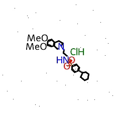 COc1cc2c(cc1OC)CN(CCCNS(=O)(=O)c1ccc(C3CCCCC3)cc1)CC2.Cl